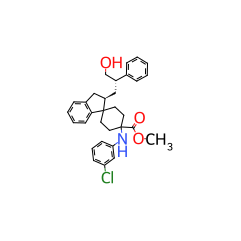 COC(=O)C1(Nc2cccc(Cl)c2)CCC2(CC1)c1ccccc1C[C@H]2C[C@H](CO)c1ccccc1